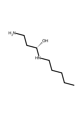 CCCCCN[C@@H](O)CCN